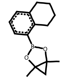 CC12CC1(C)OB(c1cccc3c1CCCC3)O2